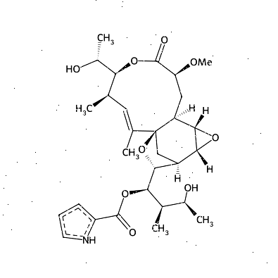 CO[C@H]1C[C@H]2[C@@H]3O[C@@H]3[C@@H]3C[C@]2(O[C@H]3[C@H](OC(=O)c2ccc[nH]2)[C@H](C)[C@H](C)O)/C(C)=C/[C@@H](C)[C@@H]([C@@H](C)O)OC1=O